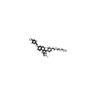 N#CCOCCOCCN1CCN(c2nc(N)nc3c2CCc2cc(OCc4ccc(Cl)cc4)ccc2-3)CC1